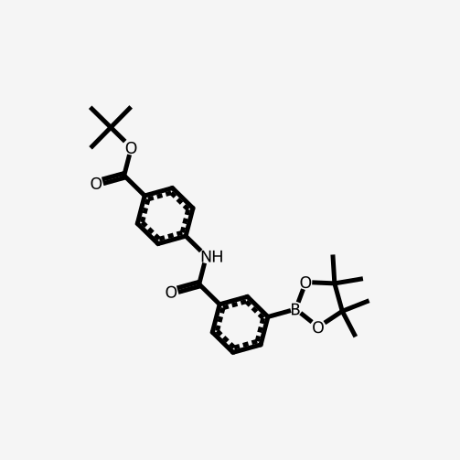 CC(C)(C)OC(=O)c1ccc(NC(=O)c2cccc(B3OC(C)(C)C(C)(C)O3)c2)cc1